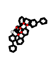 c1ccc(-c2ccc(N(c3ccc4c(c3)C3(c5cc(-c6ccccc6)ccc5Oc5ccc(-c6ccccc6)cc53)c3ccccc3-4)c3ccccc3-c3ccccc3)cc2)cc1